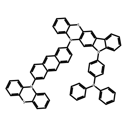 c1ccc(N(c2ccccc2)c2ccc(-n3c4ccccc4c4cc5c(cc43)N(c3ccc4cc6cc(N7c8ccccc8Sc8ccccc87)ccc6cc4c3)c3ccccc3S5)cc2)cc1